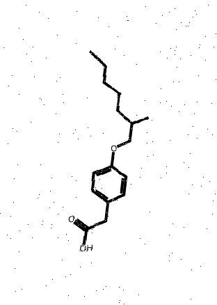 CCCCCC(C)COc1ccc(CC(=O)O)cc1